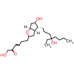 CCCCC(O)(CC)CCC[C@@H]1[C@H]2CC(CCC=CC(=O)CO)O[C@H]2C[C@H]1O